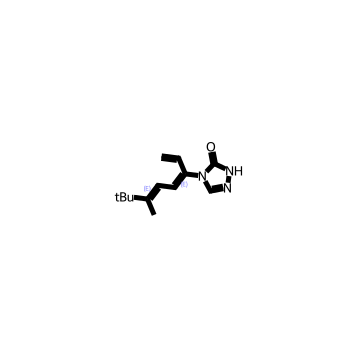 C=C/C(=C\C=C(/C)C(C)(C)C)n1cn[nH]c1=O